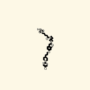 O=C(Cc1ccc(OCCCC2CCN(c3ncc(Cl)cn3)CC2)cc1F)N1CC2(CCN2C(=O)CCCCS(=O)(=O)O)C1